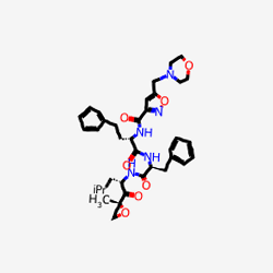 CC(C)C[C@H](NC(=O)[C@H](Cc1ccccc1)NC(=O)[C@H](CCc1ccccc1)NC(=O)c1cc(CN2CCOCC2)on1)C(=O)[C@@]1(C)CO1